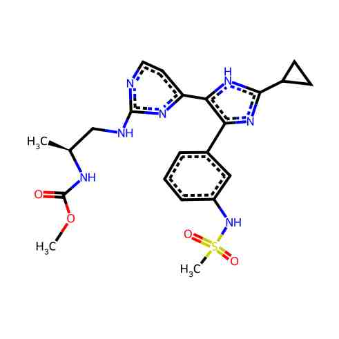 COC(=O)N[C@@H](C)CNc1nccc(-c2[nH]c(C3CC3)nc2-c2cccc(NS(C)(=O)=O)c2)n1